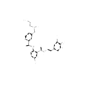 CCN(CCO)Cc1cccc(C(=O)Nc2ccc(Cl)cc2C(=O)NN=Cc2ccc(Cl)c(C(F)(F)F)c2)c1